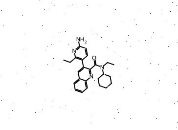 CCc1nc(N)ccc1-c1cc2ccccc2nc1C(=O)N(CC)C1CCCCC1